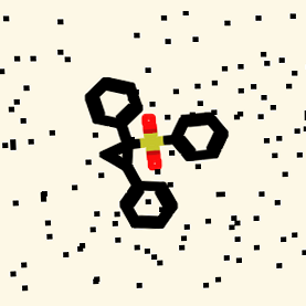 O=S(=O)(c1ccccc1)C1(c2ccccc2)CC1c1ccccc1